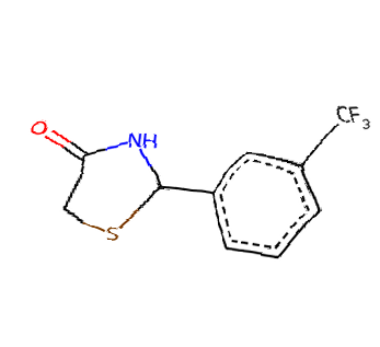 O=C1CSC(c2cccc(C(F)(F)F)c2)N1